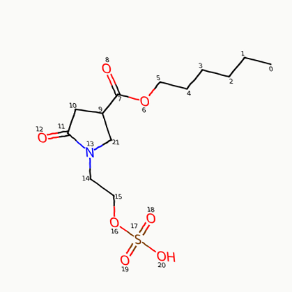 CCCCCCOC(=O)C1CC(=O)N(CCOS(=O)(=O)O)C1